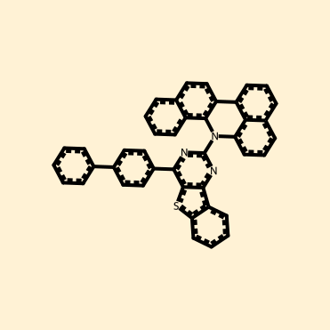 c1ccc(-c2ccc(-c3nc(N4c5c(ccc6ccccc56)-c5cccc6cccc4c56)nc4c3sc3ccccc34)cc2)cc1